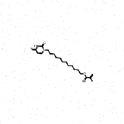 C=C(C)C(=O)OCCCCCCCCCCCCn1ccc(=S)[nH]c1=O